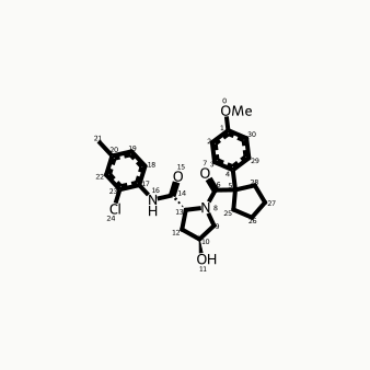 COc1ccc(C2(C(=O)N3C[C@@H](O)C[C@@H]3C(=O)Nc3ccc(C)cc3Cl)CCCC2)cc1